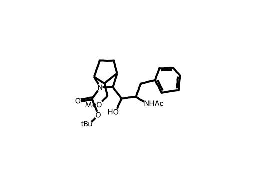 COCC1C2CCC1N(C(=O)OC(C)(C)C)C2C(O)C(Cc1ccccc1)NC(C)=O